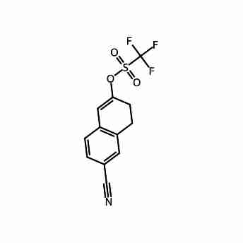 N#Cc1ccc2c(c1)CCC(OS(=O)(=O)C(F)(F)F)=C2